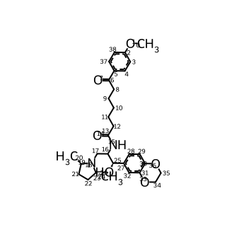 COc1ccc(C(=O)CCCCCC(=O)NC(CN2[C@H](C)CC[C@H]2C)[C@H](O)c2ccc3c(c2)OCCO3)cc1